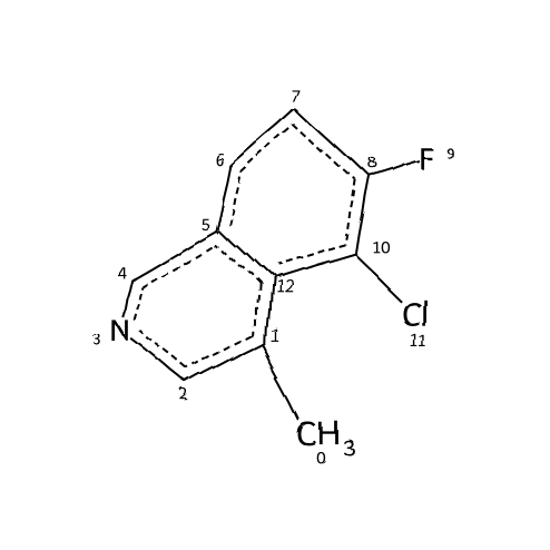 Cc1cncc2ccc(F)c(Cl)c12